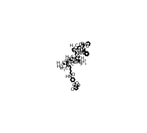 CC[C@H](C)[C@@H]([C@@H](CC(=O)N1CCC[C@H]1[C@H](OC)[C@@H](C)C(=O)N[C@@H](Cc1c[nH]c2ccccc12)C(=O)N1CCCCO1)OC)N(C)[C@H](C(=O)NC(=O)[C@H](C(C)C)N(C)CCCCCC(=O)N[C@H]1CC[C@H](C(=O)ON2C(=O)CCC2=O)CC1)C(C)C